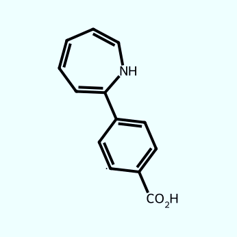 O=C(O)c1[c]cc(C2=CC=CC=CN2)cc1